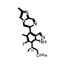 COC[C@@H](C)c1c(F)c(C)c(-c2cn3cc(C)nc3cn2)c2cn[nH]c12